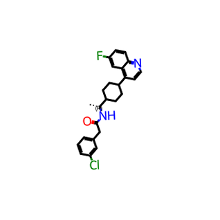 C[C@@H](NC(=O)Cc1cccc(Cl)c1)C1CCC(c2ccnc3ccc(F)cc23)CC1